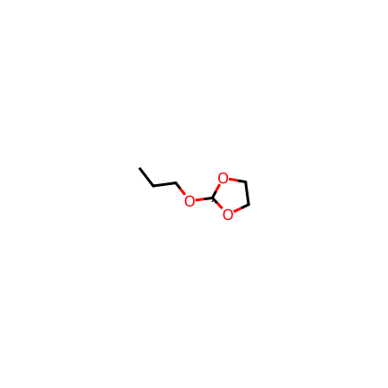 CCCO[C]1OCCO1